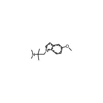 COc1ccc2c(ccn2CC(C)(C)N(C)C)c1